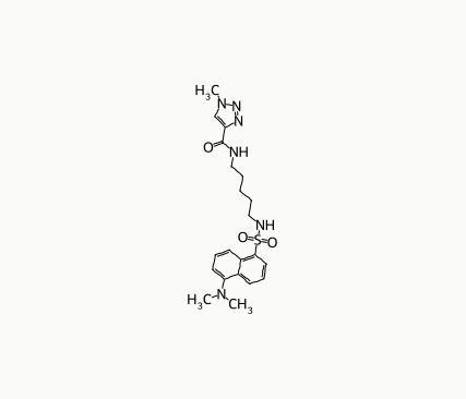 CN(C)c1cccc2c(S(=O)(=O)NCCCCCNC(=O)c3cn(C)nn3)cccc12